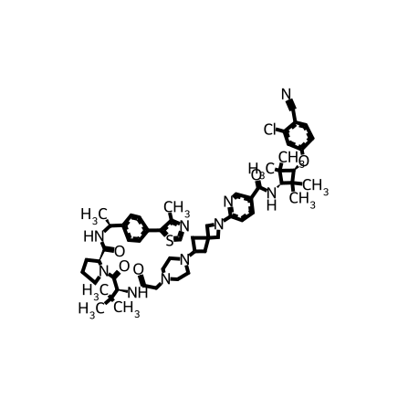 Cc1ncsc1-c1ccc([C@H](C)NC(=O)[C@@H]2CCCN2C(=O)[C@@H](NC(=O)CN2CCN(C3CC4(C3)CN(c3ccc(C(=O)N[C@H]5C(C)(C)[C@H](Oc6ccc(C#N)c(Cl)c6)C5(C)C)cn3)C4)CC2)C(C)(C)C)cc1